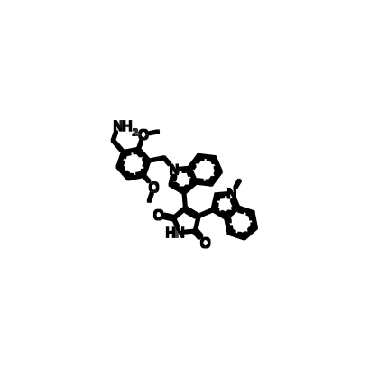 COc1ccc(CN)c(OC)c1Cn1cc(C2=C(c3cn(C)c4ccccc34)C(=O)NC2=O)c2ccccc21